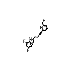 FCc1cccc(C#CCCc2cn3cc(F)cc(F)c3n2)n1